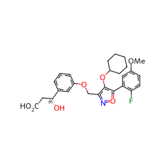 COc1ccc(F)c(-c2onc(COc3cccc([C@H](O)CC(=O)O)c3)c2OC2CCCCC2)c1